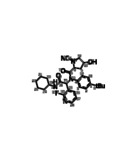 CC(C)(C)c1ccc(N(C(=O)C2CC(O)CN2C#N)C(C(=O)NC2CCCCC2)c2cccnc2F)cc1